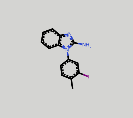 Cc1ccc(-n2c(N)nc3ccccc32)cc1I